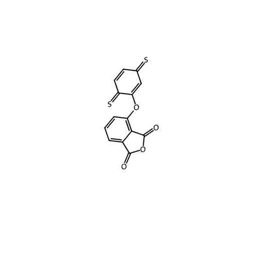 O=C1OC(=O)c2c(OC3=CC(=S)C=CC3=S)cccc21